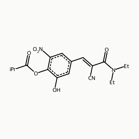 CCN(CC)C(=O)/C(C#N)=C/c1cc(O)c(OC(=O)C(C)C)c([N+](=O)[O-])c1